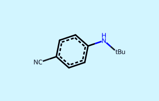 CC(C)(C)Nc1ccc(C#N)cc1